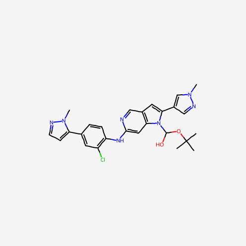 Cn1cc(-c2cc3cnc(Nc4ccc(-c5ccnn5C)cc4Cl)cc3n2C(O)OC(C)(C)C)cn1